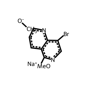 COc1ncc(Br)c2ncccc12.C[O-].[Na+]